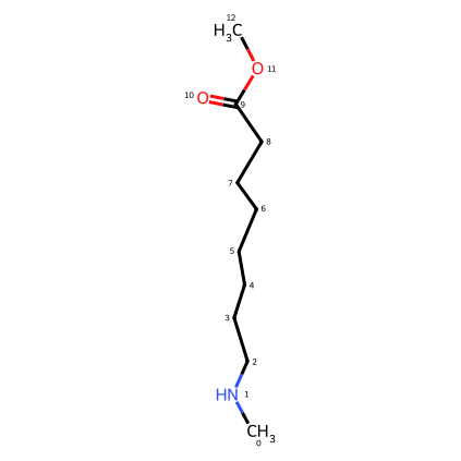 CNCCCCCCCC(=O)OC